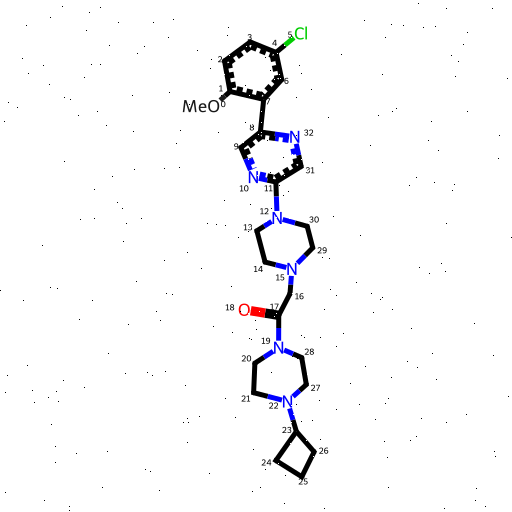 COc1ccc(Cl)cc1-c1cnc(N2CCN(CC(=O)N3CCN(C4CCC4)CC3)CC2)cn1